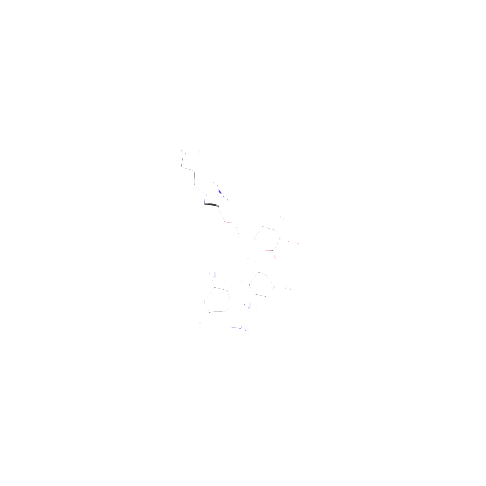 CC(=O)NCCCn1cc(COC[C@H]2O[C@H](O[C@@H]3[C@@H](O)[C@H](O[C@H]4O[C@H](CN)[C@@H](O)C[C@H]4N)[C@@H](N)C[C@H]3N)[C@H](O)[C@@H](N)[C@@H]2O)nn1